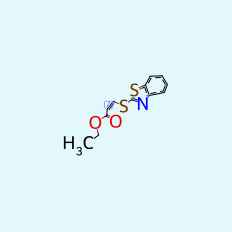 CCOC(=O)/C=C\Sc1nc2ccccc2s1